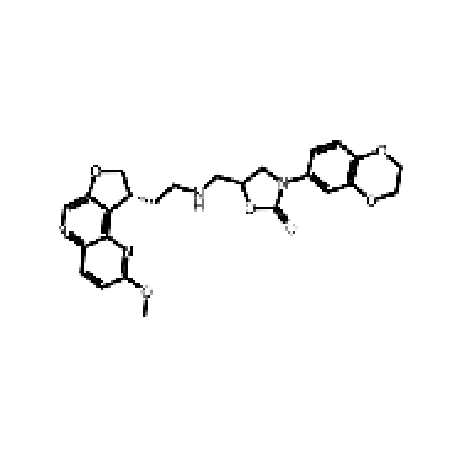 COc1ccc2ncc3c(c2n1)[C@@H](CCNCC1CN(c2ccc4c(c2)OCCO4)C(=O)O1)CO3